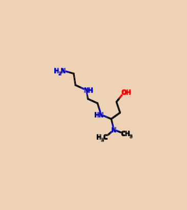 CN(C)C(CCO)NCCNCCN